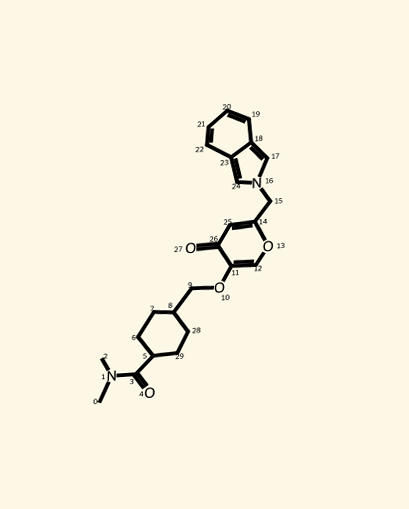 CN(C)C(=O)C1CCC(COc2coc(Cn3cc4ccccc4c3)cc2=O)CC1